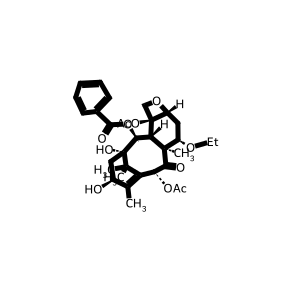 CCO[C@H]1C[C@H]2OC[C@@]2(OC(C)=O)[C@H]2[C@H](OC(=O)c3ccccc3)[C@]3(O)C[C@H](O)C(C)=C([C@@H](OC(C)=O)C(=O)[C@]12C)C3(C)C